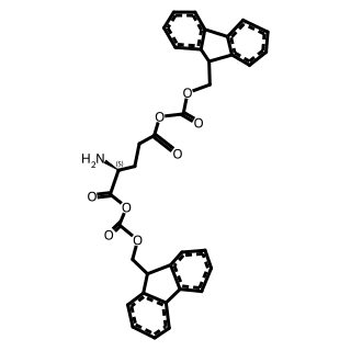 N[C@@H](CCC(=O)OC(=O)OCC1c2ccccc2-c2ccccc21)C(=O)OC(=O)OCC1c2ccccc2-c2ccccc21